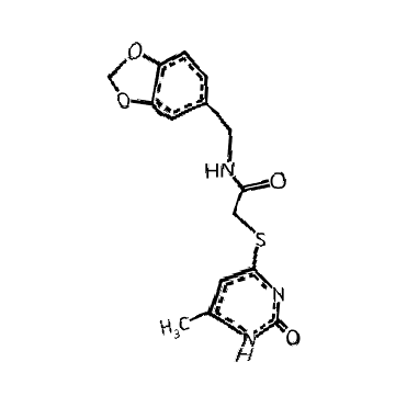 Cc1cc(SCC(=O)NCc2ccc3c(c2)OCO3)nc(=O)[nH]1